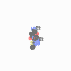 CCNc1cc2c(cc1C)C1(c3cc(C)c(NCC)cc3O2)c2ccccc2C(=O)N1CCNC(=S)Nc1ccccc1